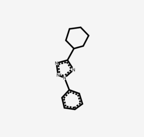 c1ccc(-n2nnc(C3CCCCC3)n2)cc1